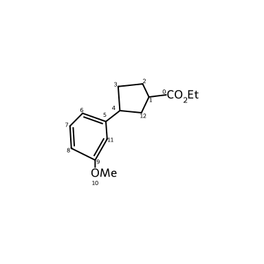 CCOC(=O)C1CCC(c2cccc(OC)c2)C1